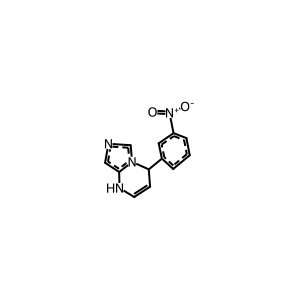 O=[N+]([O-])c1cccc(C2C=CNc3cncn32)c1